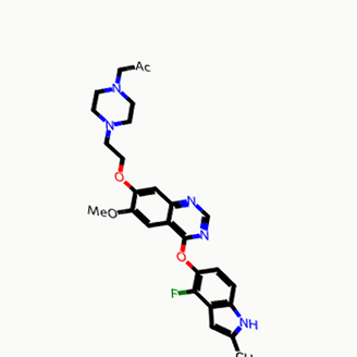 COc1cc2c(Oc3ccc4[nH]c(C)cc4c3F)ncnc2cc1OCCN1CCN(CC(C)=O)CC1